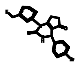 O=C1CCC2=C1C(c1ccc(Br)cc1)NC(=O)N2c1cccc(CF)c1